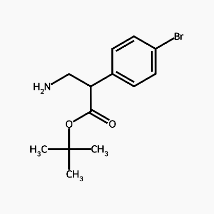 CC(C)(C)OC(=O)C(CN)c1ccc(Br)cc1